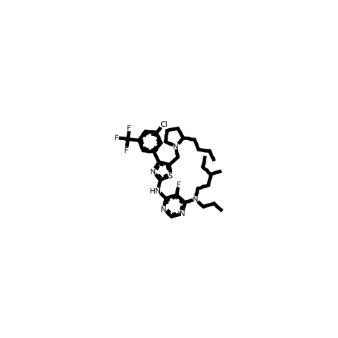 CCCCC1CCCN1Cc1sc(Nc2ncnc(N(CCC)CCC(C)CC)c2F)nc1-c1cc(Cl)cc(C(F)(F)F)c1